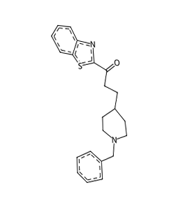 O=C(CCC1CCN(Cc2ccccc2)CC1)c1nc2ccccc2s1